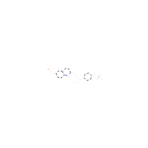 O=P(O)(O)Oc1cc(Cl)c2nc(CC3CCC3c3ccc(OC(F)(F)F)cc3)ccc2c1